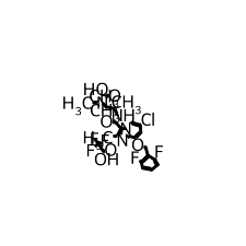 Cc1nc2c(OCc3c(F)cccc3F)cc(Cl)cn2c1C(=O)NC(C)CN(C(=O)O)C(C)(C)C.O=C(O)C(F)(F)F